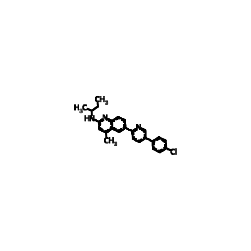 CCC(C)Nc1cc(C)c2cc(-c3ccc(-c4ccc(Cl)cc4)cn3)ccc2n1